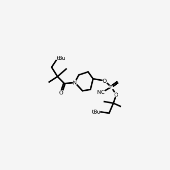 C=P(C#N)(OC1CCN(C(=O)C(C)(C)CC(C)(C)C)CC1)OC(C)(C)CC(C)(C)C